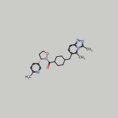 Cc1ccc([C@@H]2CCON2C(=O)C2CCC(Cc3ccc4nnc(C)n4c3C)CC2)cn1